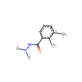 CCN(CC)NC(=O)c1cccc(C)c1C